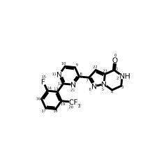 O=C1NCCn2nc(-c3ccnc(-c4c(F)cccc4C(F)(F)F)n3)cc21